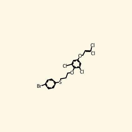 ClC(Cl)=CCOc1cc(Cl)c(OCCCSc2ccc(Br)cc2)c(Cl)c1